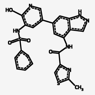 Cc1nc(C(=O)Nc2cc(-c3cnc(O)c(NS(=O)(=O)c4ccccc4)c3)cc3[nH]ncc23)cs1